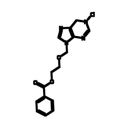 O=C(OCCOCn1cnc2c1N=CN(Cl)C2)c1ccccc1